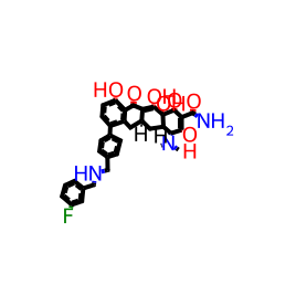 CN(C)C1C(O)=C(C(N)=O)C(=O)[C@]2(O)C(O)=C3C(=O)c4c(O)ccc(-c5ccc(CNCc6cccc(F)c6)cc5)c4C[C@@H]3C[C@H]12